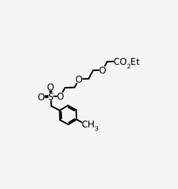 CCOC(=O)COCCOCCOS(=O)(=O)Cc1ccc(C)cc1